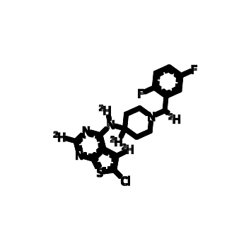 [2H]c1nc(N([2H])C2([2H])CCN(C([2H])c3cc(F)ccc3F)CC2)c2c([2H])c(Cl)sc2n1